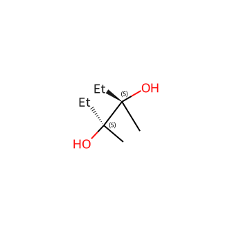 CC[C@](C)(O)[C@@](C)(O)CC